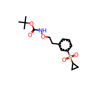 CC(C)(C)OC(=O)NOCCc1cccc(S(=O)(=O)C2CC2)c1